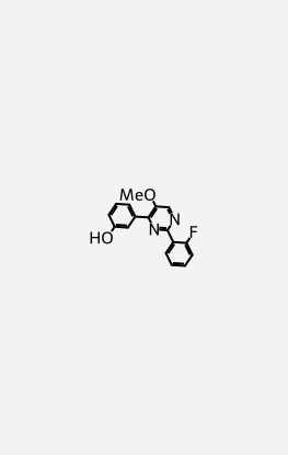 COc1cnc(-c2ccccc2F)nc1-c1cccc(O)c1